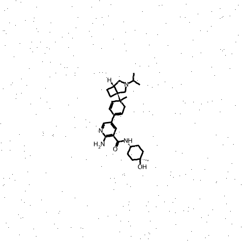 CC(C)N1C[C@H]2CC[C@@]2(C2(C)C=CC(c3cnc(N)c(C(=O)N[C@H]4CC[C@](C)(O)CC4)c3)=CC2)C1